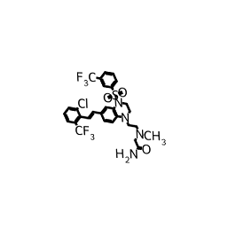 CN(CCN1CCN(S(=O)(=O)c2cccc(C(F)(F)F)c2)c2cc(/C=C/c3c(Cl)cccc3C(F)(F)F)ccc21)CC(N)=O